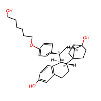 C[C@]12C[C@H](c3ccc(OCCCCCCO)cc3)[C@@H]3c4ccc(O)cc4CC[C@H]3C13CCC2(O)CC3